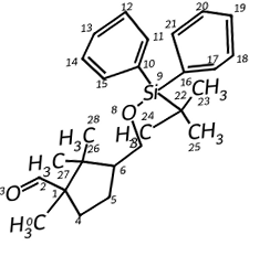 CC1(C=O)CCC(CO[Si](c2ccccc2)(c2ccccc2)C(C)(C)C)C1(C)C